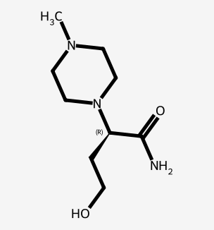 CN1CCN([C@H](CCO)C(N)=O)CC1